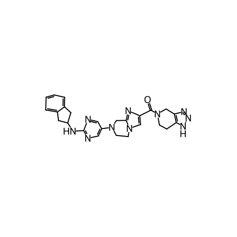 O=C(c1cn2c(n1)CN(c1cnc(NC3Cc4ccccc4C3)nc1)CC2)N1CCc2[nH]nnc2C1